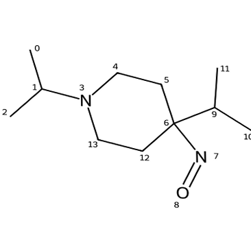 CC(C)N1CCC(N=O)(C(C)C)CC1